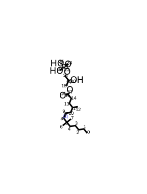 CCCCCC(C)(C)/C=C\CC(C)CCC(=O)OC[C@@H](O)COP(=O)(O)O